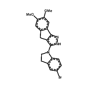 COc1cc2c(cc1OC)-c1n[nH]c(N3CCc4cc(Br)ccc43)c1C2